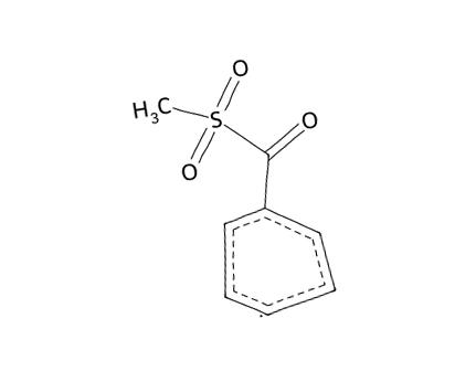 CS(=O)(=O)C(=O)c1cc[c]cc1